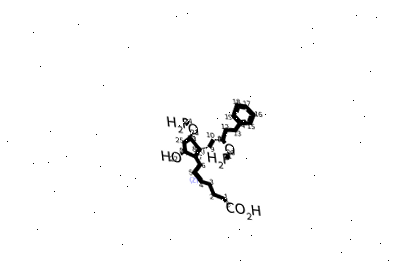 O=C(O)CCC/C=C\CC1[C@@H](CC[C@H](CCc2ccccc2)OP)[C@H](OP)C[C@@H]1O